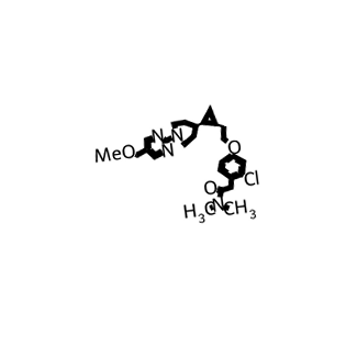 COCc1cnc(N2CCC([C@H]3C[C@H]3CCOc3ccc(CC(=O)N(C)C)c(Cl)c3)CC2)nc1